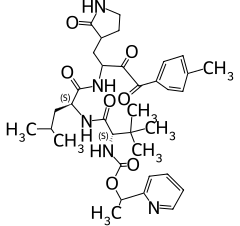 Cc1ccc(C(=O)C(=O)C(CC2CCNC2=O)NC(=O)[C@H](CC(C)C)NC(=O)[C@@H](NC(=O)OC(C)c2ccccn2)C(C)(C)C)cc1